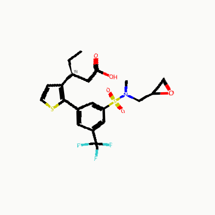 CC[C@@H](CC(=O)O)c1ccsc1-c1cc(C(F)(F)F)cc(S(=O)(=O)N(C)CC2CO2)c1